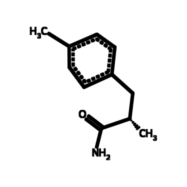 Cc1ccc(C[C@H](C)C(N)=O)cc1